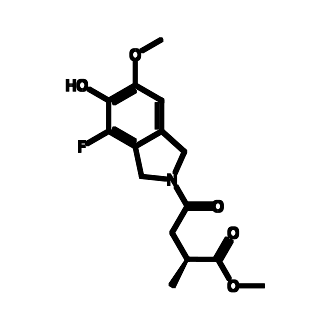 COC(=O)[C@@H](C)CC(=O)N1Cc2cc(OC)c(O)c(F)c2C1